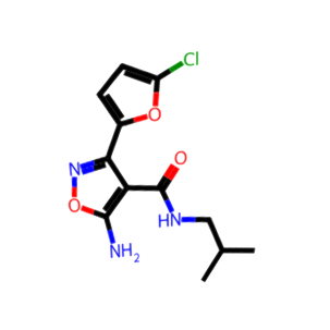 CC(C)CNC(=O)c1c(-c2ccc(Cl)o2)noc1N